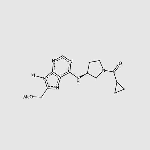 CCn1c(COC)nc2c(N[C@H]3CCN(C(=O)C4CC4)C3)ncnc21